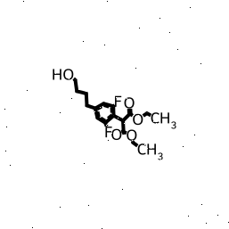 CCOC(=O)C(C(=O)OCC)c1c(F)cc(CCCCO)cc1F